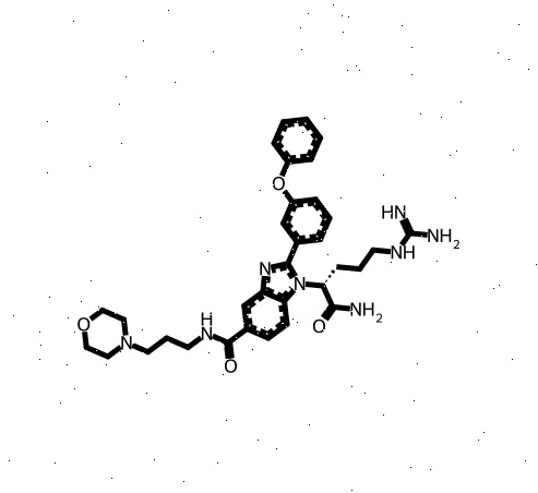 N=C(N)NCCC[C@H](C(N)=O)n1c(-c2cccc(Oc3ccccc3)c2)nc2cc(C(=O)NCCCN3CCOCC3)ccc21